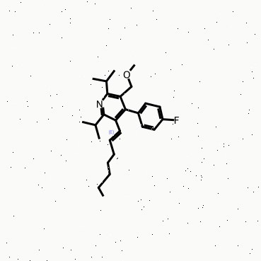 CCCCC/C=C/c1c(C(C)C)nc(C(C)C)c(COC)c1-c1ccc(F)cc1